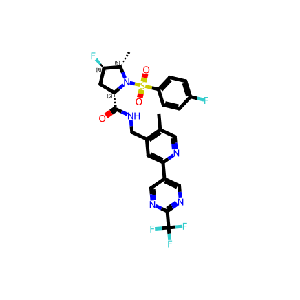 Cc1cnc(-c2cnc(C(F)(F)F)nc2)cc1CNC(=O)[C@@H]1C[C@@H](F)[C@H](C)N1S(=O)(=O)c1ccc(F)cc1